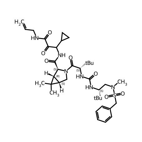 C=CCNC(=O)C(=O)C(NC(=O)[C@@H]1[C@@H]2[C@H](CN1C(=O)[C@@H](NC(=O)N[C@H](CN(C)S(=O)(=O)Cc1ccccc1)C(C)(C)C)C(C)(C)C)C2(C)C)C1CC1